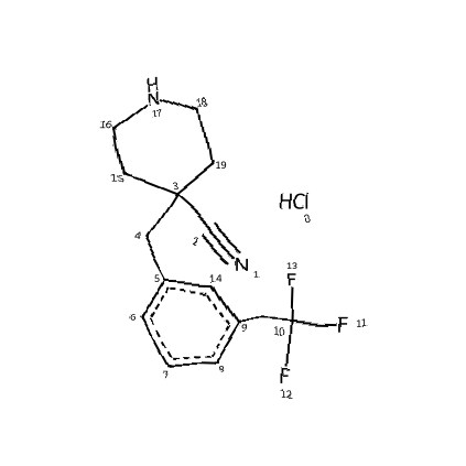 Cl.N#CC1(Cc2cccc(C(F)(F)F)c2)CCNCC1